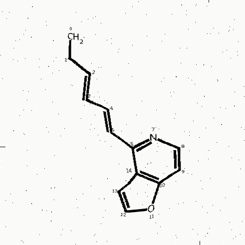 [CH2]CC=CC=Cc1nccc2occc12